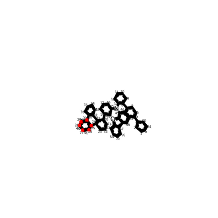 c1ccc(-c2ccc(-c3ccccc3N(c3cccc(-c4cccc(-c5ccccc5)c4-c4ccccc4-c4ccccc4)c3)c3cccc4c3oc3ccccc34)cc2)cc1